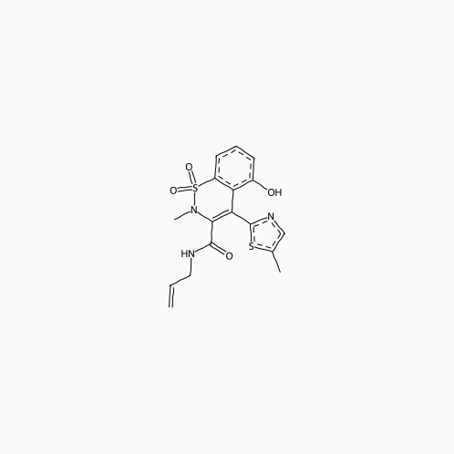 C=CCNC(=O)C1=C(c2ncc(C)s2)c2c(O)cccc2S(=O)(=O)N1C